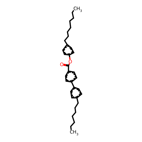 CCCCCCCCc1ccc(OC(=O)c2ccc(-c3ccc(CCCCCCC)cc3)cc2)cc1